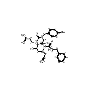 C#CCN1CC(=O)N2[C@@H](CCC(=O)O)C(=O)N(Cc3ccc(F)cc3)C[C@@H]2N1C(=O)NCc1ccccc1